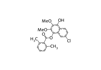 COc1c(OC)c(OC(=O)c2c(C)cccc2C)c2cc(Cl)ccc2c1O